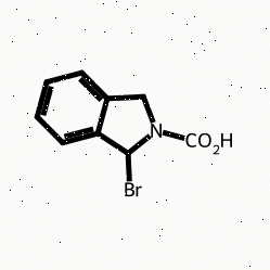 O=C(O)N1Cc2ccccc2C1Br